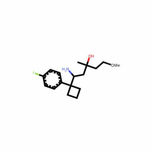 COCCC(C)(O)CC(N)C1(c2ccc(F)cc2)CCC1